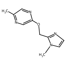 Cc1cnc(OCc2nccn2C)cn1